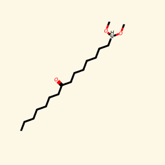 CCCCCCCC(=O)CCCCCCC[SiH](OC)OC